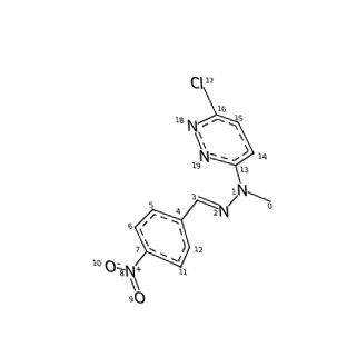 CN(N=Cc1ccc([N+](=O)[O-])cc1)c1ccc(Cl)nn1